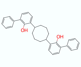 Oc1c(-c2ccccc2)cccc1C1CCCC(c2cccc(-c3ccccc3)c2O)CCC1